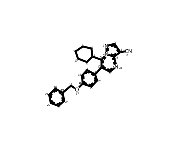 N#Cc1cnn2c(C3CCCCC3)c(-c3ccc(OCc4ccccc4)cc3)cnc12